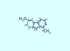 CC1=Cc2c(sc3c(C)cccc23)CC1